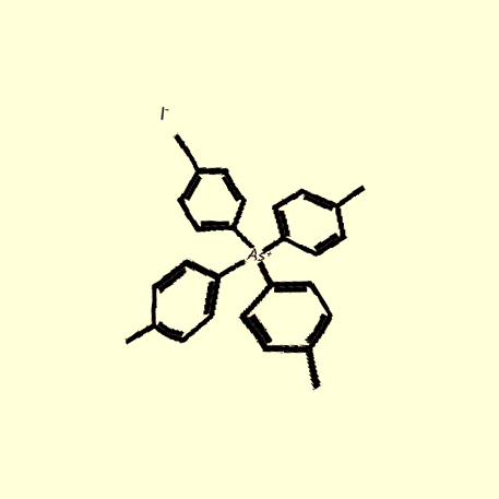 Cc1ccc([As+](c2ccc(C)cc2)(c2ccc(C)cc2)c2ccc(C)cc2)cc1.[I-]